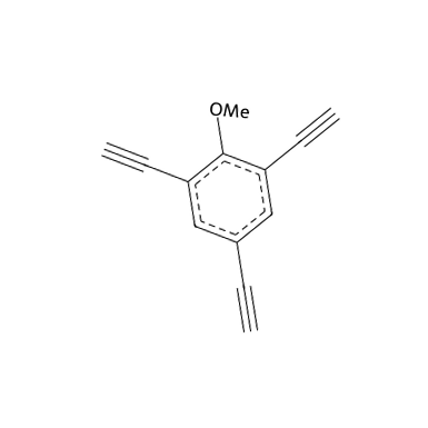 C#Cc1cc(C#C)c(OC)c(C#C)c1